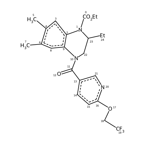 CCOC(=O)N1c2cc(C)c(C)cc2N(C(=O)c2ccc(OCC(F)(F)F)nc2)CC1CC